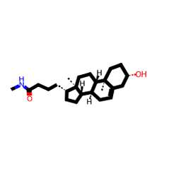 CNC(=O)CCC[C@H]1CC[C@H]2[C@@H]3CC=C4C[C@@H](O)CC[C@]4(C)[C@H]3CC[C@]12C